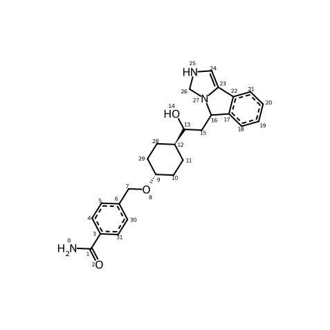 NC(=O)c1ccc(CO[C@H]2CC[C@H](C(O)CC3c4ccccc4C4=CNCN43)CC2)cc1